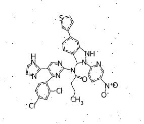 CCCC(=O)N(c1ncc(-c2ncc[nH]2)c(-c2ccc(Cl)cc2Cl)n1)C1c2ccc(-c3ccsc3)cc2NN1c1ccc([N+](=O)[O-])cn1